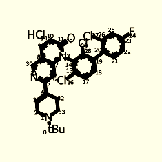 CC(C)(C)N1CC=C(c2cc3c(ccc(=O)n3-c3c(Cl)ccc(-c4ccc(F)cc4Cl)c3Cl)cn2)CC1.Cl